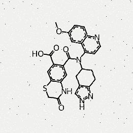 COc1ccc2nccc(N(C(=O)c3cc4c(cc3C(=O)O)SCC(=O)N4)C3CCc4n[nH]cc4C3)c2c1